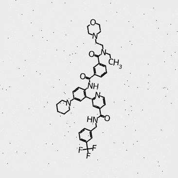 CCN(CCN1CCOCC1)C(=O)c1cccc(C(=O)Nc2ccc(N3CCCCC3)cc2-c2cc(C(=O)NCc3cccc(C(F)(F)F)c3)ccn2)c1